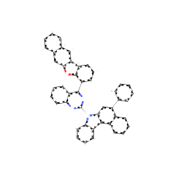 c1ccc(-c2cc3c(c4ccccc24)c2ccccc2n3-c2nc(-c3cccc4c3oc3cc5ccccc5cc34)c3ccccc3n2)cc1